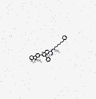 C=C(/C=C(\C=C/C)c1ccc2nc(-c3ccc4c(c3)C(C)(C)C3=C4CCC=C3)cc(-c3ccccc3)c2c1)CCCCCCC1=CC=CCC1